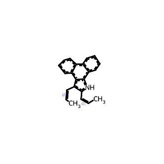 C/C=C\c1[nH]c2c3ccccc3c3ccccc3c2c1/C=C\C